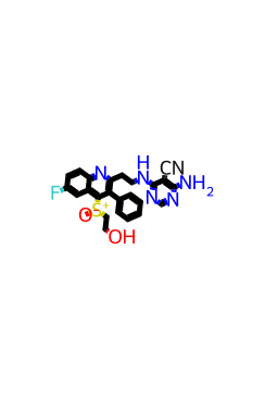 N#Cc1c(N)ncnc1NCCc1nc2ccc(F)cc2c([S+]([O-])CCO)c1-c1ccccc1